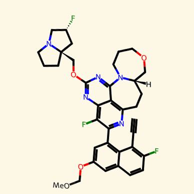 C#Cc1c(F)ccc2cc(OCOC)cc(-c3nc4c5c(nc(OC[C@@]67CCCN6C[C@H](F)C7)nc5c3F)N3CCCOC[C@@H]3CC4)c12